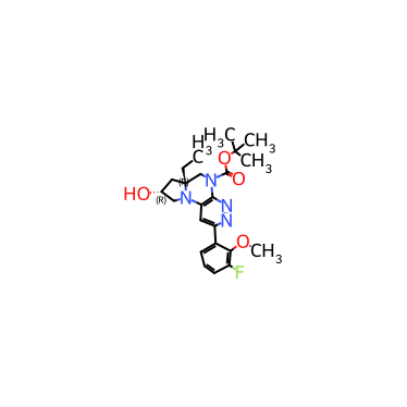 CC[C@]12C[C@@H](O)CN1c1cc(-c3cccc(F)c3OC)nnc1N(C(=O)OC(C)(C)C)C2